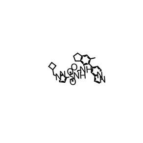 Cc1cc2c(c(NC(=O)NS(=O)(=O)c3ccn(CC4CCC4)n3)c1-c1ccn3nccc3c1)CCC2